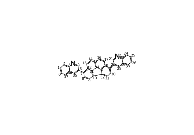 c1ccc2ncc(-c3ccc4c5c3ccc3ccc6c(-c7cnc8ccccc8c7)ccc-4c6c35)cc2c1